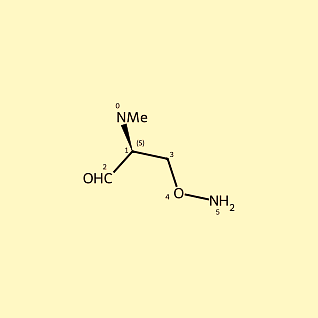 CN[C@H](C=O)CON